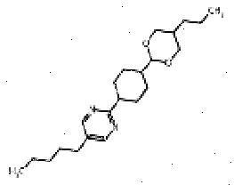 CCCCCc1cnc(C2CCC(C3OCC(CCC)CO3)CC2)nc1